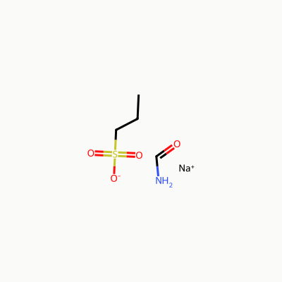 CCCS(=O)(=O)[O-].NC=O.[Na+]